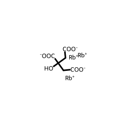 O=C([O-])CC(O)(CC(=O)[O-])C(=O)[O-].[Rb+].[Rb+].[Rb+]